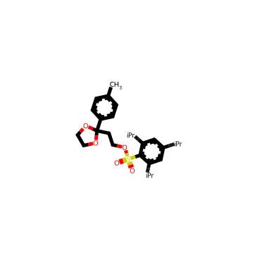 Cc1ccc(C2(CCOS(=O)(=O)c3c(C(C)C)cc(C(C)C)cc3C(C)C)OCCO2)cc1